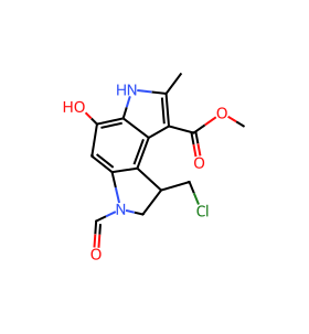 COC(=O)c1c(C)[nH]c2c(O)cc3c(c12)C(CCl)CN3C=O